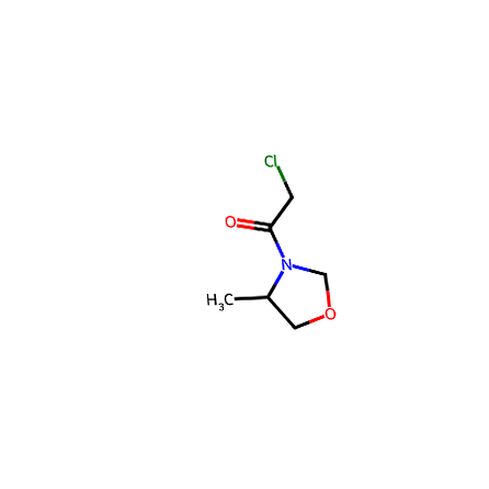 CC1COCN1C(=O)CCl